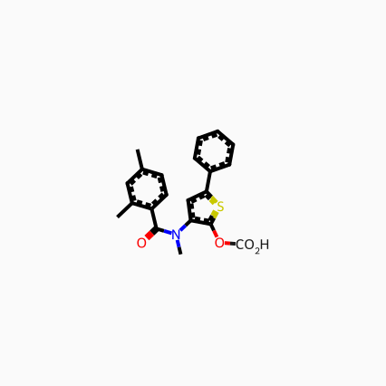 Cc1ccc(C(=O)N(C)c2cc(-c3ccccc3)sc2OC(=O)O)c(C)c1